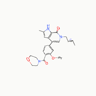 C/C=C/Cn1cc(-c2ccc(C(=O)N3CCOCC3)c(OC(C)C)c2)c2cc(C)[nH]c2c1=O